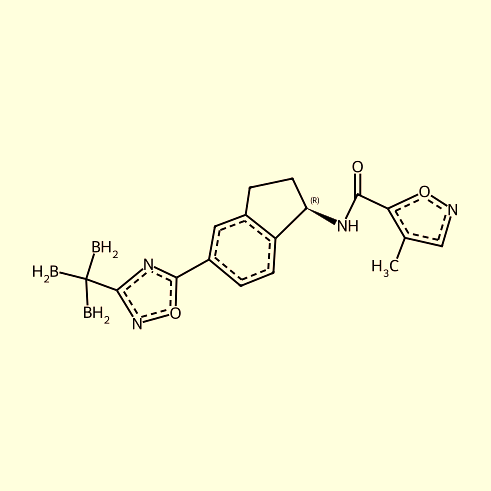 BC(B)(B)c1noc(-c2ccc3c(c2)CC[C@H]3NC(=O)c2oncc2C)n1